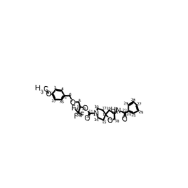 COc1ccc(COCC(OC(=O)N2CCC3(CC2)CC(NC(=O)c2ccccc2)CO3)C(F)(F)F)cc1